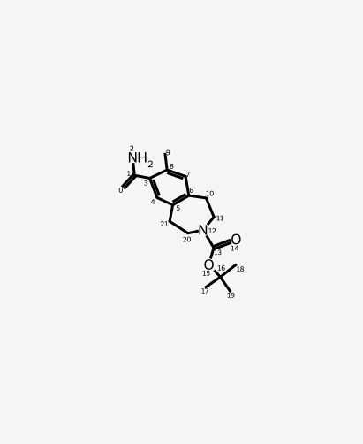 C=C(N)c1cc2c(cc1C)CCN(C(=O)OC(C)(C)C)CC2